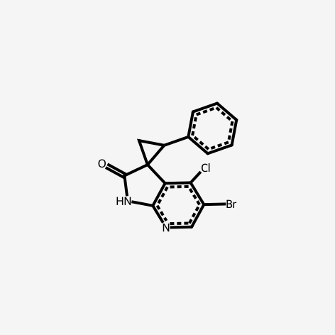 O=C1Nc2ncc(Br)c(Cl)c2C12CC2c1ccccc1